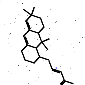 CC(=O)/C=C/CC1CCCC2=CC3=CC(C)(C)CCC3C(C)(C)C21